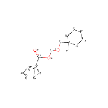 CC1(COCOC(=O)C2CC3C=CC2C3)CCCCC1